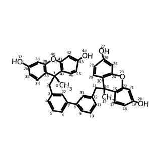 CC1(Cc2cccc(-c3cccc(CC4(C)c5ccc(O)cc5Oc5cc(O)ccc54)c3)c2)c2ccc(O)cc2Oc2cc(O)ccc21